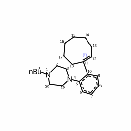 CCCCN1CCN(c2ccccc2/C2=C/CCCCCC2)CC1